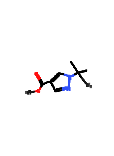 CCCOC(=O)c1cnn(C(C)(C)C(F)(F)F)c1